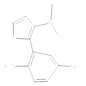 CN(C)c1ccsc1-c1cc(N)ccc1N